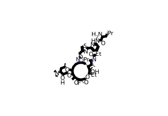 CCC(=O)/N=C(\C(C)C)[C@H](C)[C@H]1CC/C(=N\OCc2csc(-c3cccc(NC(=O)[C@@H](N)CC(C)C)n3)n2)CCC(C)[C@H](O[C@@H]2O[C@H](C)C[C@H](N(C)C)[C@H]2O)C(C)C(=O)[C@](C)(F)C(=O)O[C@H](CC)[C@@]1(C)O